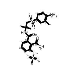 Cc1cc(S(=O)(=O)CC(C)(C)NC(=O)c2cccc(OS(C)(=O)=O)c2C(=O)O)ccc1N